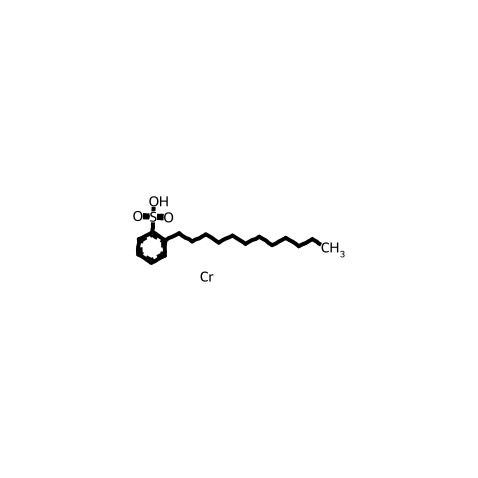 CCCCCCCCCCCCc1ccccc1S(=O)(=O)O.[Cr]